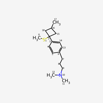 CSC1(c2ccc(CCCN(C)C)cc2)CC(C)C1